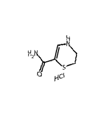 Cl.NC(=O)C1=CNCCS1